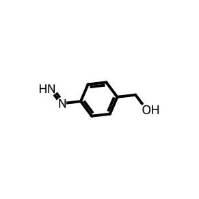 N=Nc1ccc(CO)cc1